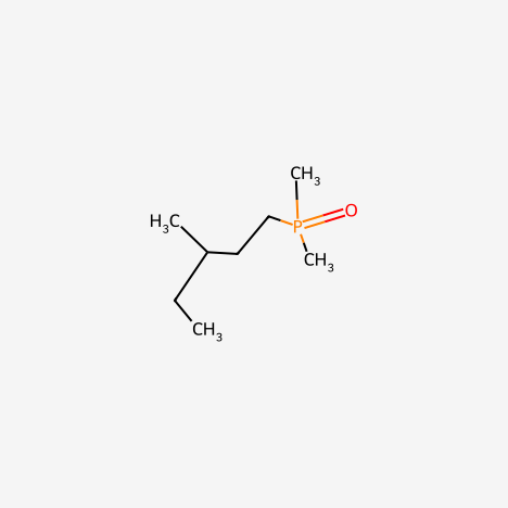 CCC(C)CCP(C)(C)=O